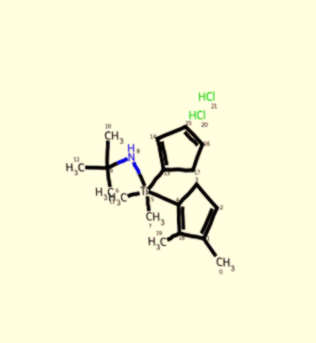 CC1=CC[C]([Ti]([CH3])([CH3])([NH]C(C)(C)C)[C]2=CC=CC2)=C1C.Cl.Cl